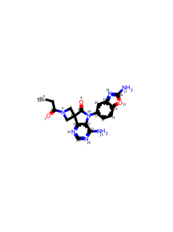 CC(C)(C)CC(=O)N1CC2(C1)C(=O)N(c1ccc3oc(N)nc3c1)c1c(N)ncnc12